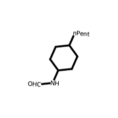 CCCCCC1CCC(NC=O)CC1